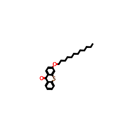 CCCCCCCCCCCCOc1ccc2c(=O)c3ccccc3sc2c1